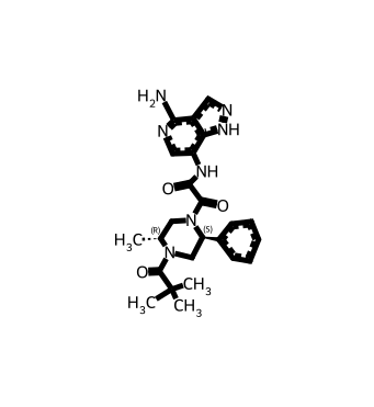 C[C@@H]1CN(C(=O)C(=O)Nc2cnc(N)c3cn[nH]c23)[C@@H](c2ccccc2)CN1C(=O)C(C)(C)C